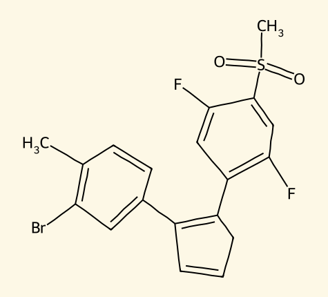 Cc1ccc(C2=C(c3cc(F)c(S(C)(=O)=O)cc3F)CC=C2)cc1Br